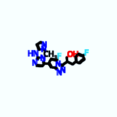 Cn1nccc1Nc1nccc(-c2cc(F)n3c(C(CO)Cc4ccc(F)cc4)nnc3c2)n1